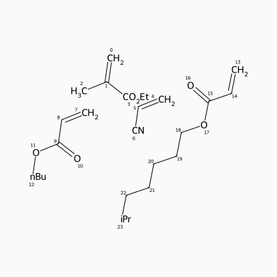 C=C(C)C(=O)OCC.C=CC#N.C=CC(=O)OCCCC.C=CC(=O)OCCCCCC(C)C